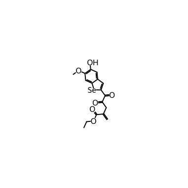 C=C(CC(=O)C(=O)c1cc2cc(O)c(OC)cc2[se]1)C(=O)OCC